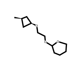 C[C@H]1C[C@@H](OCCOC2CCCCO2)C1